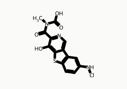 CN(C(=O)O)C(=O)c1ncc2c(sc3ccc(NCl)cc32)c1O